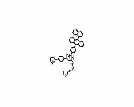 C=C/C=C\C=C\c1cc(-c2ccc(-c3cccnc3)cc2)nc(-c2ccc(-c3c4ccccc4c(-c4cccc5ccccc45)c4ccccc34)cc2)n1